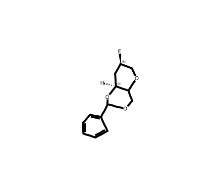 F[C@H]1COC2COC(c3ccccc3)O[C@H]2C1